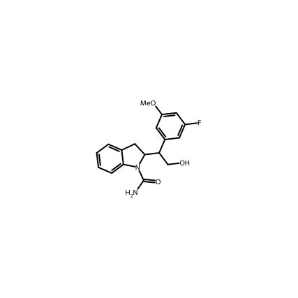 COc1cc(F)cc(C(CO)C2Cc3ccccc3N2C(N)=O)c1